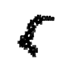 COc1ccc(N=S2CCN(c3ccc(-c4cc(-c5cnn(C)c5)cn5ncc(C#N)c45)cn3)CC2)cn1